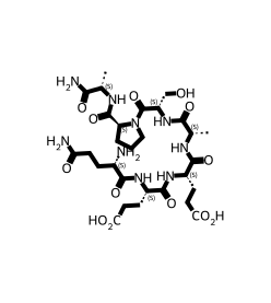 C[C@H](NC(=O)[C@@H]1CCCN1C(=O)[C@H](CO)NC(=O)[C@H](C)NC(=O)[C@H](CCC(=O)O)NC(=O)[C@H](CCC(=O)O)NC(=O)[C@@H](N)CCC(N)=O)C(N)=O